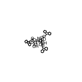 O=C(Nc1nc(OC(=O)OCC2c3ccccc3-c3ccccc32)c2ncn(C3COC(CO)C(O)[C@@H]3OC(=O)OCC3c4ccccc4-c4ccccc43)c2n1)OCC1c2ccccc2-c2ccccc21